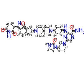 CN1CCN([C@@H]2CCCN(c3cnc(C(N)=O)c(Nc4ccc(N5CCC6(CC5)CCN(C5Cc7ccc8c(C9CCC(=O)NC9=O)noc8c7C5)CC6)cc4)n3)C2)C1=O